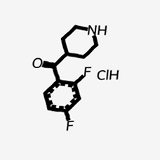 Cl.O=C(c1ccc(F)cc1F)C1CCNCC1